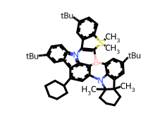 CC(C)(C)c1ccc2c(c1)C1=C(B3c4cc(C(C)(C)C)cc5c4N(c4cc(C6CCCCC6)c6c7cc(C(C)(C)C)ccc7n1c6c43)C1(C)CCCCC51C)S2(C)C